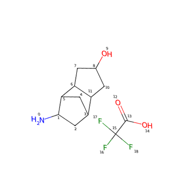 NC1CC2CC1C1CC(O)CC21.O=C(O)C(F)(F)F